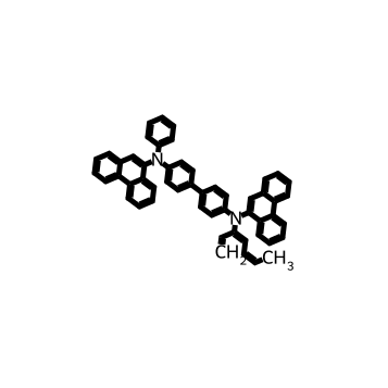 C=C/C(=C\C=C/C)N(c1ccc(-c2ccc(N(c3ccccc3)c3cc4ccccc4c4ccccc34)cc2)cc1)c1cc2ccccc2c2ccccc12